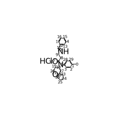 Cc1ccc(N(C(=O)CCNCc2ccccc2)C2CCOC3(CCCC3)C2)cc1.Cl